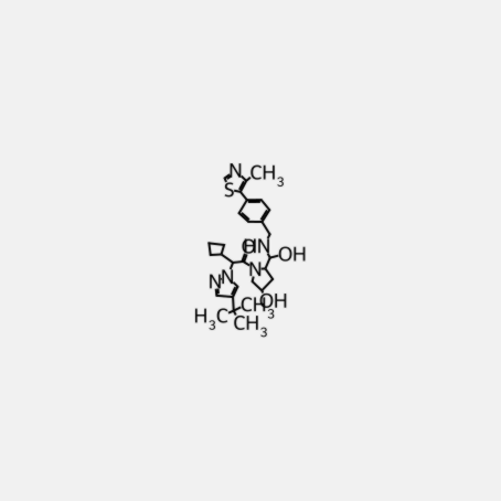 Cc1ncsc1-c1ccc(CNC(O)C2CC(O)CN2C(=O)C(C2CCC2)n2cc(C(C)(C)C)cn2)cc1